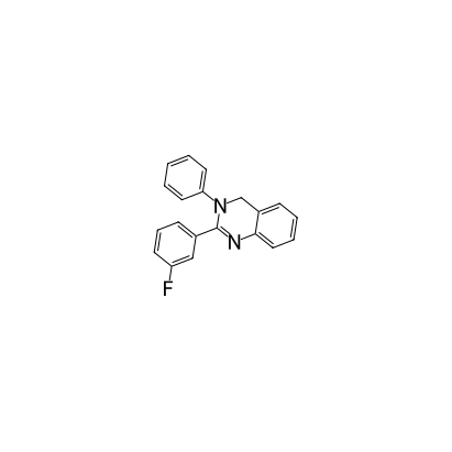 Fc1cccc(C2=Nc3ccccc3CN2c2ccccc2)c1